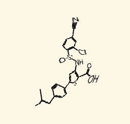 CC(C)Cc1ccc(-c2cc(N[S+]([O-])c3ccc(C#N)cc3Cl)c(C(=O)O)s2)cc1